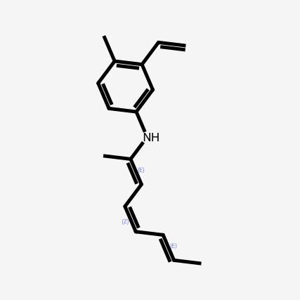 C=Cc1cc(N/C(C)=C/C=C\C=C\C)ccc1C